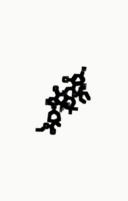 CCOC(=O)C1(C)CCC(n2ncc(C(=O)N(CC(O[Si](CC)(CC)CC)c3c(Cl)cc(F)cc3Cl)C3CCC(C)(C)CC3)c2C(F)(F)F)CC1